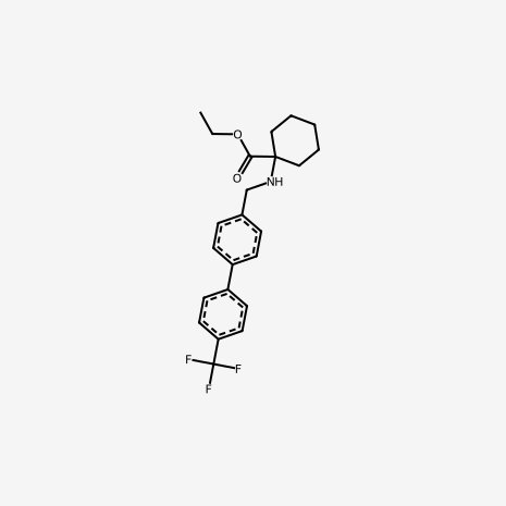 CCOC(=O)C1(NCc2ccc(-c3ccc(C(F)(F)F)cc3)cc2)CCCCC1